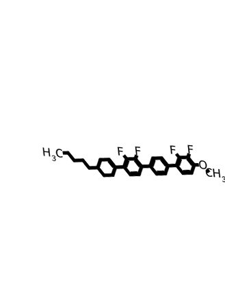 CCCCCC1CC=C(c2ccc(-c3ccc(-c4ccc(OC)c(F)c4F)cc3)c(F)c2F)CC1